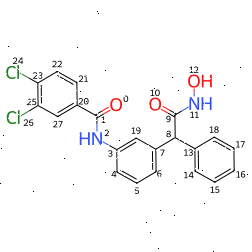 O=C(Nc1cccc(C(C(=O)NO)c2ccccc2)c1)c1ccc(Cl)c(Cl)c1